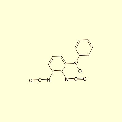 O=C=Nc1cccc([S+]([O-])c2ccccc2)c1N=C=O